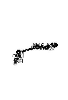 C[C@H]1CCCN1Cc1nc2cc(NC(=O)C3=CCC(CCCCCCCCNc4cccc5c4C(=O)N(C4CCC(=O)NC4=O)C5=O)(C(N)=O)C=C3)ccc2[nH]1